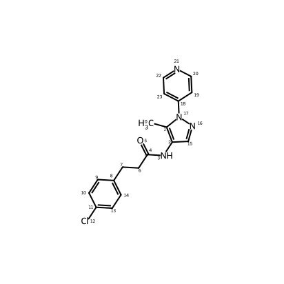 Cc1c(NC(=O)CCc2ccc(Cl)cc2)cnn1-c1ccncc1